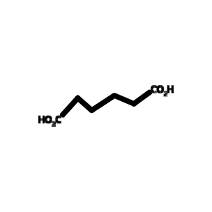 O=C(O)[CH]CCCC(=O)O